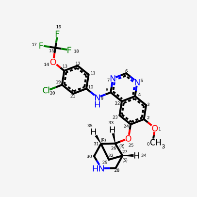 COc1cc2ncnc(Nc3ccc(OC(F)(F)F)c(Cl)c3)c2cc1O[C@@H]1[C@@H]2CNC[C@H]1C2